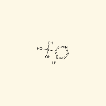 O[B-](O)(O)c1cnccn1.[Li+]